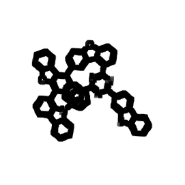 c1ccc(-c2nc(-c3ccc4c(c3)sc3ccccc34)nc(-c3cccc4oc5ccc(-c6ccc(-c7cccc8c9ccccc9n(-c9ccccc9)c78)c7oc8ccccc8c67)cc5c34)n2)cc1